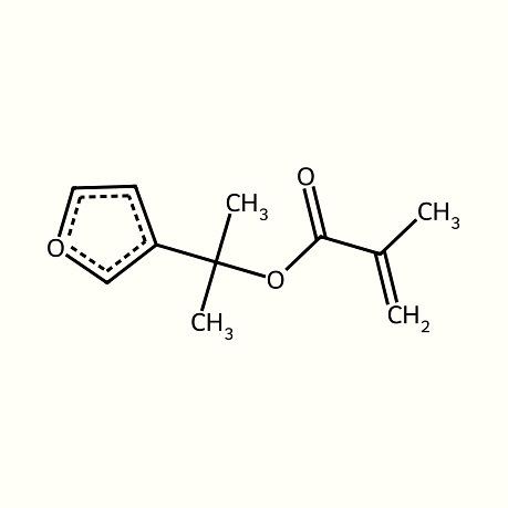 C=C(C)C(=O)OC(C)(C)c1ccoc1